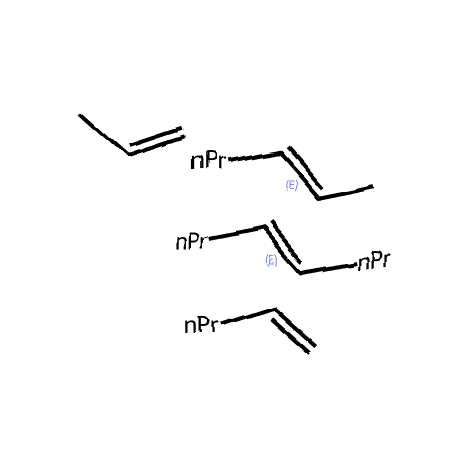 C/C=C/CCC.C=CC.C=CCCC.CCC/C=C/CCC